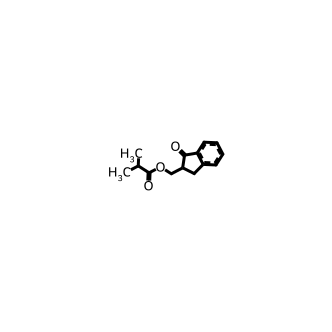 CC(C)C(=O)OCC1Cc2ccccc2C1=O